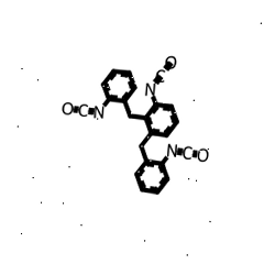 O=C=Nc1ccccc1Cc1cccc(N=C=O)c1Cc1ccccc1N=C=O